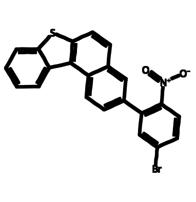 O=[N+]([O-])c1ccc(Br)cc1-c1ccc2c(ccc3sc4ccccc4c32)c1